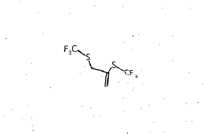 C=C(CSC(F)(F)F)SC(F)(F)F